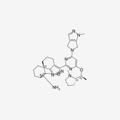 C[C@H](Oc1cc(N2Cc3cnn(C)c3C2)nc(-c2onc3c2CCC[C@@]32CCCc3sc(N)c(C#N)c32)n1)[C@@H]1CCCN1C